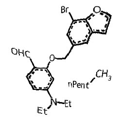 CCCCCC.CCN(CC)c1ccc(C=O)c(OCc2cc(Br)c3occc3c2)c1